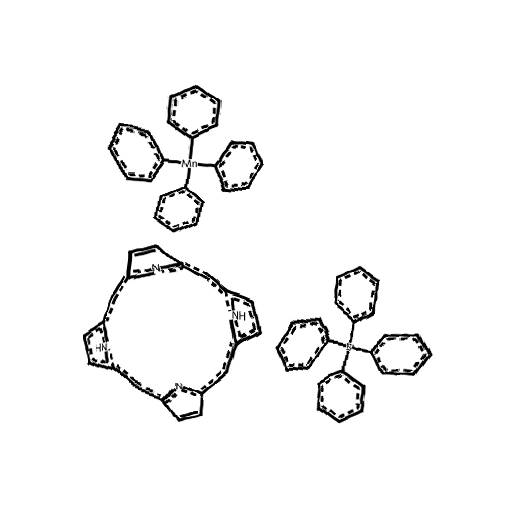 C1=Cc2cc3ccc(cc4nc(cc5ccc(cc1n2)[nH]5)C=C4)[nH]3.c1cc[c]([Mn]([c]2ccccc2)([c]2ccccc2)[c]2ccccc2)cc1.c1ccc([B-](c2ccccc2)(c2ccccc2)c2ccccc2)cc1